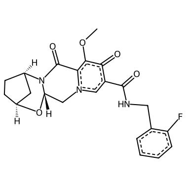 COc1c2n(cc(C(=O)NCc3ccccc3F)c1=O)C[C@@H]1O[C@H]3CC[C@H](C3)N1C2=O